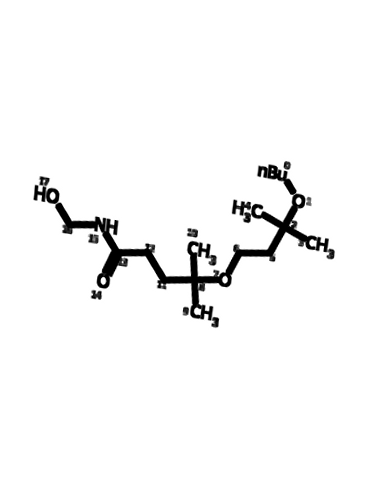 CCCCOC(C)(C)CCOC(C)(C)CCC(=O)NCO